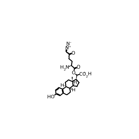 C[C@]12CC[C@@H]3c4ccc(O)cc4CC[C@H]3[C@@H]1CC[C@@H]2C(OC(=O)[C@@H](N)CCC(=O)C=[N+]=[N-])C(=O)O